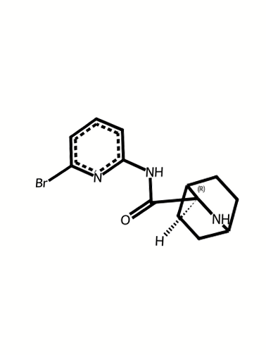 O=C(Nc1cccc(Br)n1)[C@@H]1NC2CCC1CC2